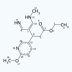 CCOC(=O)CC(/C(C=N)=C/NC)c1ccc(OC)nc1